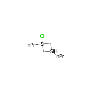 CCC[SiH]1C[Si](Cl)(CCC)C1